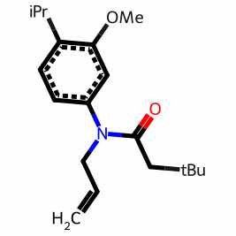 C=CCN(C(=O)CC(C)(C)C)c1ccc(C(C)C)c(OC)c1